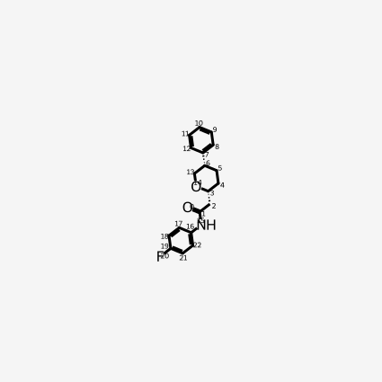 O=C(C[C@H]1CC[C@@H](c2ccccc2)CO1)Nc1ccc(F)cc1